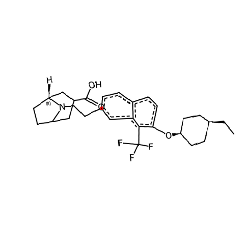 CC[C@H]1CC[C@@H](Oc2ccc3ccc(CCN4C5CC[C@@H]4CC(C(=O)O)C5)cc3c2C(F)(F)F)CC1